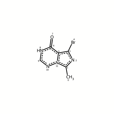 Cc1nc(Br)c2c(=O)[nH]cnn12